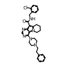 O=C(NCc1ccccc1Cl)c1c2n(c3c(N4CCN(CCc5ccccc5)CC4)ncnc13)CCCC2